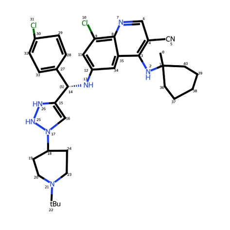 CC1(Nc2c(C#N)cnc3c(Cl)cc(N[C@H](C4=CN(C5CCN(C(C)(C)C)CC5)NN4)c4ccc(Cl)cc4)cc23)CCCCC1